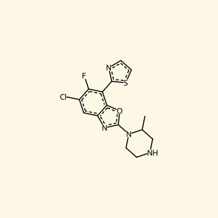 CC1CNCCN1c1nc2cc(Cl)c(F)c(-c3nccs3)c2o1